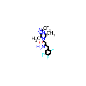 C[C@@H]1CN(C(=O)C[C@H](N)Cc2cc(F)c(F)cc2F)[C@@H](C)c2nnc(C(F)(F)F)n21